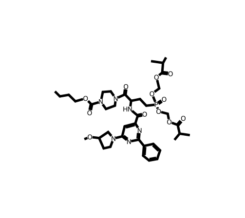 CCCCOC(=O)N1CCN(C(=O)C(CCP(=O)(OCOC(=O)C(C)C)OCOC(=O)C(C)C)NC(=O)c2cc(N3CCC(OC)C3)nc(-c3ccccc3)n2)CC1